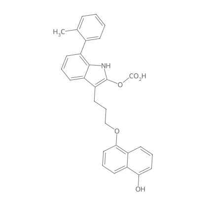 Cc1ccccc1-c1cccc2c(CCCOc3cccc4c(O)cccc34)c(OC(=O)O)[nH]c12